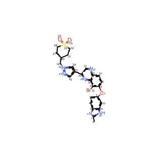 Cc1nc2ccc(Oc3ccc4ncc(-c5cnn(CC6CCS(=O)(=O)CC6)c5)nc4c3Br)cc2[nH]1